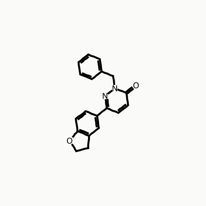 O=c1ccc(-c2ccc3c(c2)CCO3)nn1Cc1ccccc1